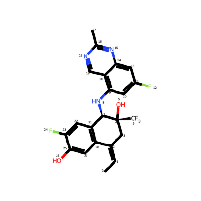 C/C=C1/C[C@](O)(C(F)(F)F)[C@H](Nc2cc(F)cc3nc(C)ncc23)c2cc(F)c(O)cc21